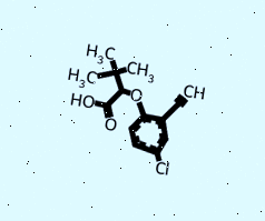 C#Cc1cc(Cl)ccc1OC(C(=O)O)C(C)(C)C